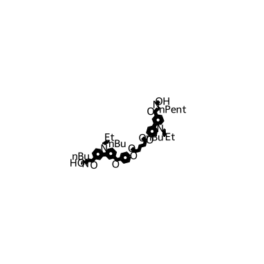 CCCCC/C(=N\O)C(=O)c1ccc2c(c1)c1ccc(OC(=O)CCCC(=O)Oc3ccc(C(=O)c4ccc5c(c4)c4cc(C(=O)/C(CCCC)=N/O)ccc4n5CC(CC)CCCC)cc3)cc1n2CC(CC)CCCC